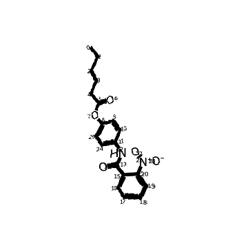 CCCCCC(=O)Oc1ccc(NC(=O)c2ccccc2[N+](=O)[O-])cc1